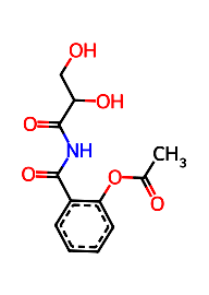 CC(=O)Oc1ccccc1C(=O)NC(=O)C(O)CO